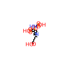 CC(CCCCCC(=O)O)C1=Nc2ccc3c(S(=O)(=O)NCCS(=O)(=O)O)cc(S(=O)(=O)O)cc3c2C1(C)C